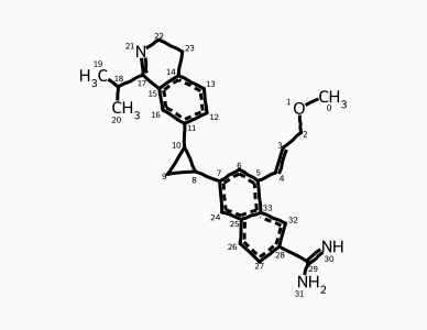 COCC=Cc1cc(C2CC2c2ccc3c(c2)C(C(C)C)=NCC3)cc2ccc(C(=N)N)cc12